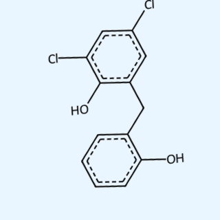 Oc1ccccc1Cc1cc(Cl)cc(Cl)c1O